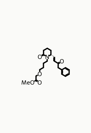 COC(=O)COCCCCN1C(=O)CCC[C@@H]1C=CC(=O)Cc1ccccc1